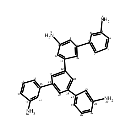 Nc1cccc(-c2cc(N)cc(-c3cc(-c4cccc(N)c4)cc(-c4cccc(N)c4)c3)c2)c1